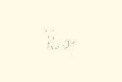 CCOc1cc(COC(=O)N(C)c2ccc(C(=O)OC)cc2)cc(OCC)c1OCC